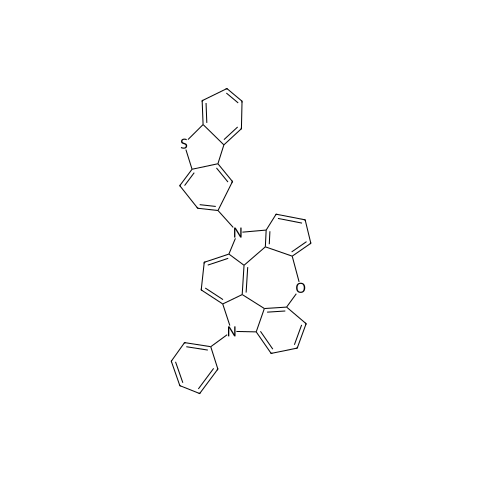 c1ccc(-n2c3cccc4oc5cccc6c5c5c(c43)c2ccc5n6-c2ccc3sc4ccccc4c3c2)cc1